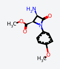 COC(=O)[C@H]1[C@@H](N)C(=O)N1c1ccc(OC)cc1